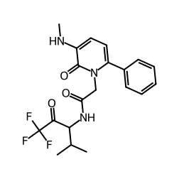 CNc1ccc(-c2ccccc2)n(CC(=O)NC(C(=O)C(F)(F)F)C(C)C)c1=O